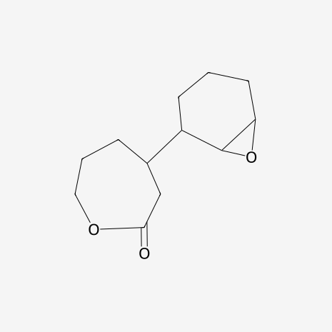 O=C1CC(C2CCCC3OC32)CCCO1